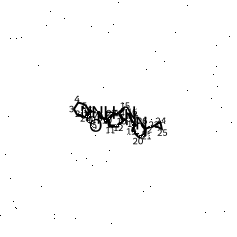 N#CN1C2CCC1C(NC(=O)c1ccc3c(cnn3-c3cccc(C4CC4)n3)c1)C2